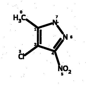 CC1=C(Cl)C([N+](=O)[O-])=N[N]1